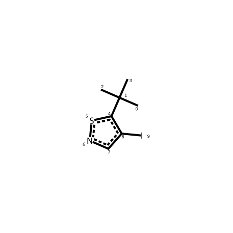 CC(C)(C)c1sncc1I